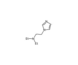 CCN(CC)CCn1c[c]nc1